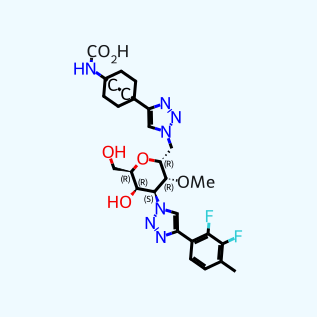 CO[C@@H]1[C@@H](n2cc(-c3ccc(C)c(F)c3F)nn2)[C@@H](O)[C@@H](CO)O[C@@H]1Cn1cc(C23CCC(NC(=O)O)(CC2)CC3)nn1